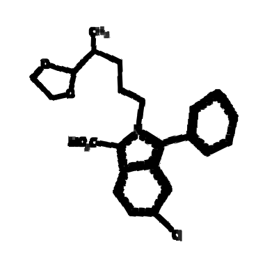 CCOC(=O)c1c2ccc(Cl)cc2c(-c2ccccc2)n1CCCC(C)C1OCCO1